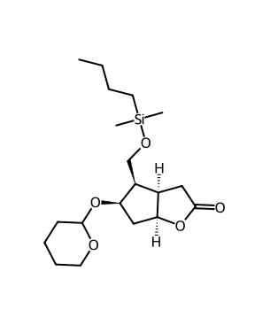 CCCC[Si](C)(C)OC[C@H]1[C@H]2CC(=O)O[C@H]2C[C@H]1OC1CCCCO1